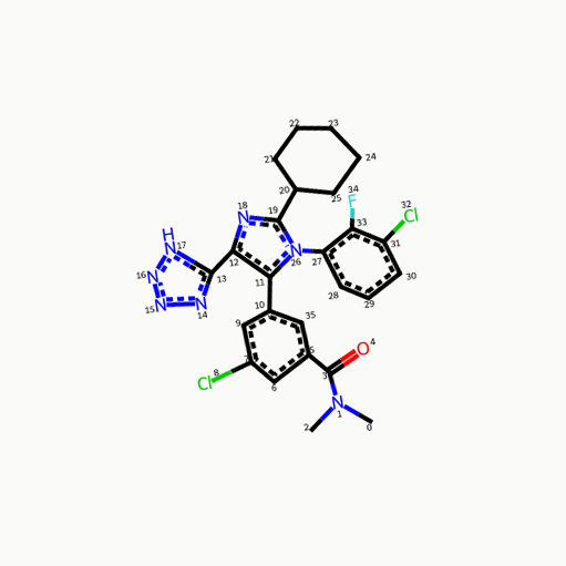 CN(C)C(=O)c1cc(Cl)cc(-c2c(-c3nnn[nH]3)nc(C3CCCCC3)n2-c2cccc(Cl)c2F)c1